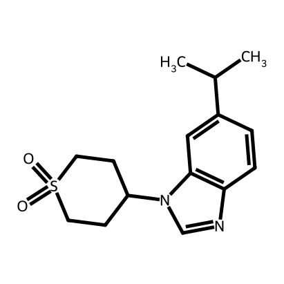 CC(C)c1ccc2ncn(C3CCS(=O)(=O)CC3)c2c1